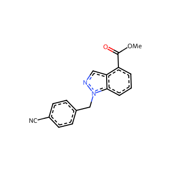 COC(=O)c1cccc2c1cnn2Cc1ccc(C#N)cc1